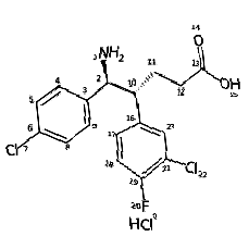 Cl.N[C@H](c1ccc(Cl)cc1)[C@H](CCC(=O)O)c1ccc(F)c(Cl)c1